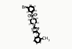 Cc1ccccc1Cc1csc(N2CCN(S(=O)(=O)c3cccc(Br)c3)CC2)n1